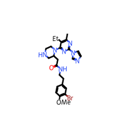 CCc1c(C)nc(-n2ccnc2)nc1N1CCNCC1CC(=O)NCCc1ccc(OC)c(Br)c1